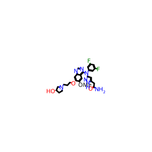 COc1cc2c(N(c3cc(F)cc(F)c3)c3cc(CC(N)=O)[nH]n3)ncnc2cc1OCCCN1CC[C@H](O)C1